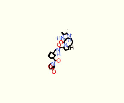 C=C(N[C@H]1CCCC[C@H]2CC[C@@H](C(=O)NCc3cccc(C(=O)N4CC5CCC4C(=O)O5)c3)N2C1=O)[C@H](C)NC